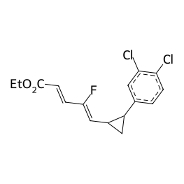 CCOC(=O)C=CC(F)=CC1CC1c1ccc(Cl)c(Cl)c1